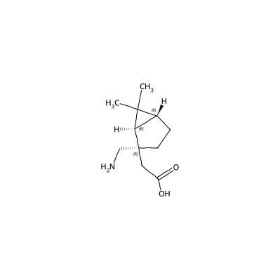 CC1(C)[C@@H]2CC[C@@](CN)(CC(=O)O)[C@H]21